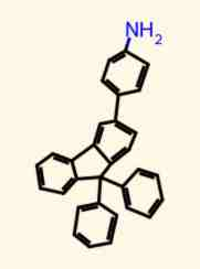 Nc1ccc(-c2ccc3c(c2)-c2ccccc2C3(c2ccccc2)c2ccccc2)cc1